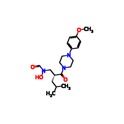 COc1ccc(N2CCN(C(=O)[C@H](CC(C)C)CN(O)C=O)CC2)cc1